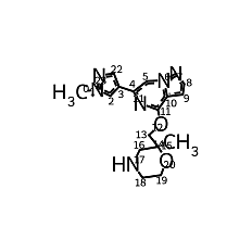 Cn1cc(-c2cn3nccc3c(OC[C@]3(C)CNCCO3)n2)cn1